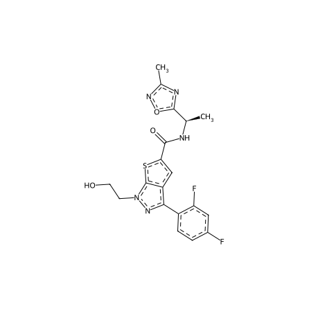 Cc1noc([C@@H](C)NC(=O)c2cc3c(-c4ccc(F)cc4F)nn(CCO)c3s2)n1